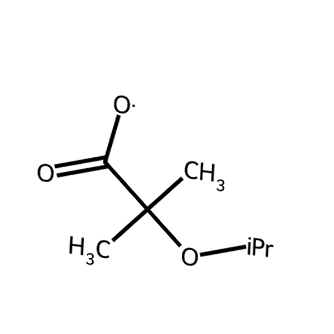 CC(C)OC(C)(C)C([O])=O